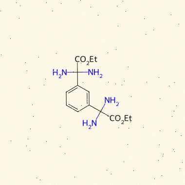 CCOC(=O)C(N)(N)c1cccc(C(N)(N)C(=O)OCC)c1